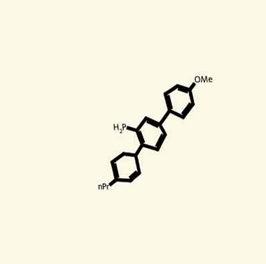 CCCC1=CCC(c2ccc(-c3ccc(OC)cc3)cc2P)C=C1